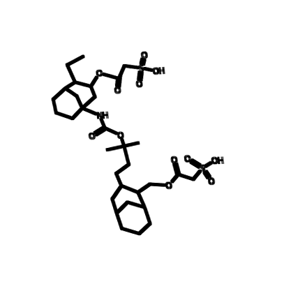 CCC1C2CCCC(NC(=O)OC(C)(C)CCC3CC4CCCC(C4)C3COC(=O)CS(=O)(=O)O)(C2)CC1OC(=O)CS(=O)(=O)O